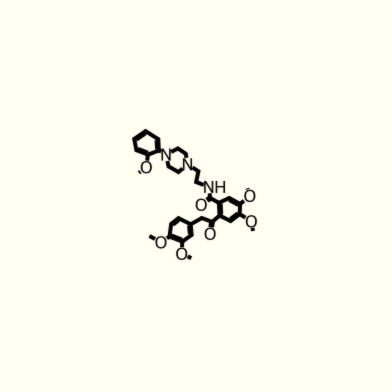 COc1ccc(CC(=O)c2cc(OC)c(OC)cc2C(=O)NCCN2CCN(c3ccccc3OC)CC2)cc1OC